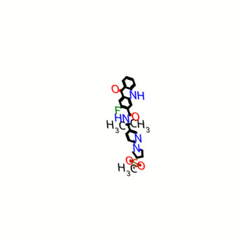 CC(C)(NC(=O)c1cc2[nH]c3ccccc3c(=O)c2cc1F)c1ccc(N2CCC(S(C)(=O)=O)C2)nc1